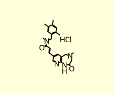 Cc1cc(C)c(CN(C)C(=O)C=Cc2cnc3c(c2)CN(C)CC(=O)N3)cc1C.Cl